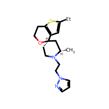 CCc1cc2c(s1)CCO[C@@]21CCN(CCn2cccn2)[C@@H](C)C1